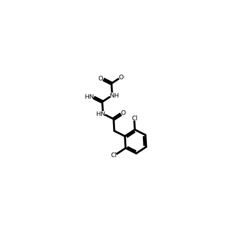 N=C(NC([O])=O)NC(=O)Cc1c(Cl)cccc1Cl